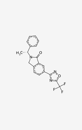 C[C@H](c1ccccc1)N1Cc2ccc(-c3noc(C(F)(F)F)n3)cc2C1=O